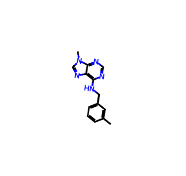 Cc1cccc(CNc2ncnc3c2ncn3C)c1